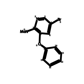 CNc1ncc(Br)cc1Oc1ccccc1